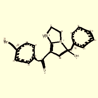 O=C(C1=C2NCCN2C(O)(c2ccccc2)C1)c1ccc(Br)cc1